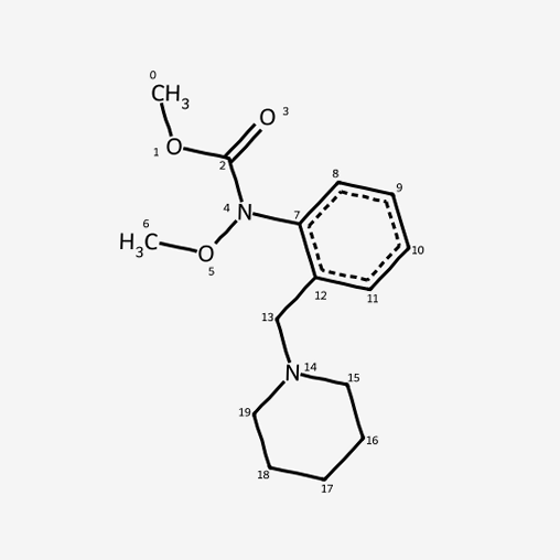 COC(=O)N(OC)c1ccccc1CN1CCCCC1